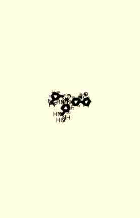 CS(=O)(=O)c1ccccc1-c1ccc(NC(=O)N(Cc2cccc(C(F)(F)F)c2)Nc2cccc(C(=N)NO)c2)c(F)c1